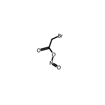 O=NOC(=O)CBr